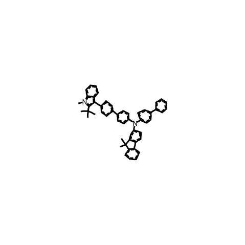 Cn1c(C(C)(C)C)c(-c2ccc(-c3ccc(N(c4ccc(-c5ccccc5)cc4)c4ccc5c(c4)C(C)(C)c4ccccc4-5)cc3)cc2)c2ccccc21